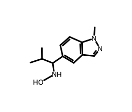 CC(C)C(NO)c1ccc2c(cnn2C)c1